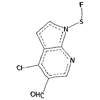 O=Cc1cnc2c(ccn2SF)c1Cl